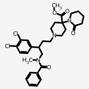 COC(=O)C1(N2CCCCC2=O)CCN(CCC(CN(C)C(=O)c2ccccc2)c2ccc(Cl)c(Cl)c2)CC1